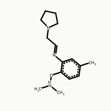 Cc1ccc(O[SiH](C)C)c(N=CCN2CCCC2)c1